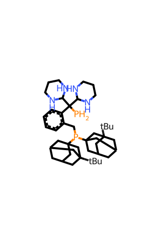 CC(C)(C)C12CC3CC(CC(P(Cc4ccccc4C(P)(C4NCCCN4)C4NCCCN4)C45CC6CC(C4)CC(C(C)(C)C)(C6)C5)(C3)C1)C2